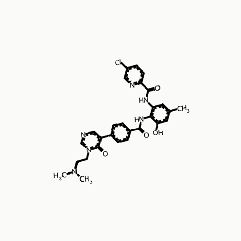 Cc1cc(O)c(NC(=O)c2ccc(-c3cncn(CCN(C)C)c3=O)cc2)c(NC(=O)c2ccc(Cl)cn2)c1